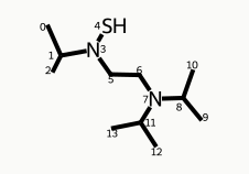 CC(C)N(S)CCN(C(C)C)C(C)C